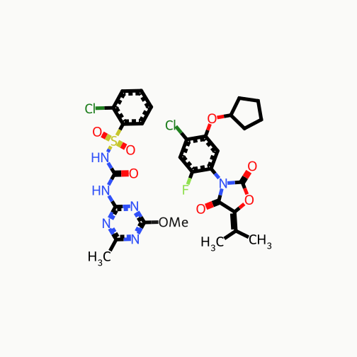 CC(C)=C1OC(=O)N(c2cc(OC3CCCC3)c(Cl)cc2F)C1=O.COc1nc(C)nc(NC(=O)NS(=O)(=O)c2ccccc2Cl)n1